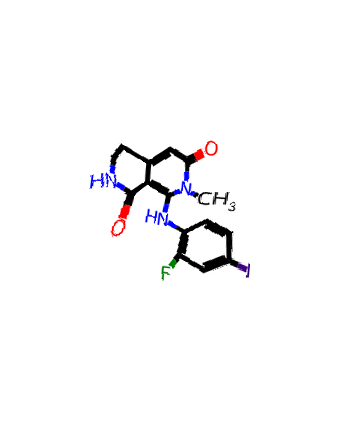 Cn1c(Nc2ccc(I)cc2F)c2c(cc1=O)CCNC2=O